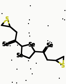 [Se]=C(CC1CS1)C1C[Se]C(C(=[Se])CC2CS2)[Se]1